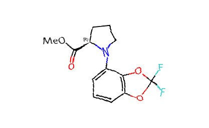 COC(=O)[C@H]1CCCN1c1cccc2c1OC(F)(F)O2